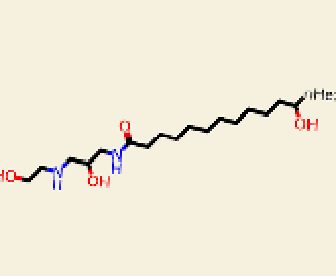 CCCCCCC(O)CCCCCCCCCCC(=O)NCC(O)CNCCO